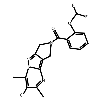 Cc1nc2c3c(nn2c(C)c1Cl)CN(C(=O)c1ccccc1OC(F)F)C3